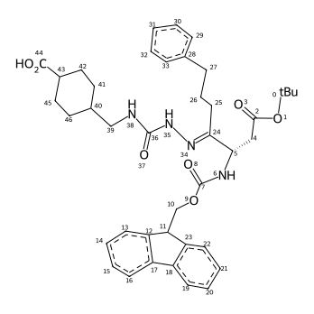 CC(C)(C)OC(=O)C[C@H](NC(=O)OCC1c2ccccc2-c2ccccc21)C(CCCc1ccccc1)=NNC(=O)NCC1CCC(C(=O)O)CC1